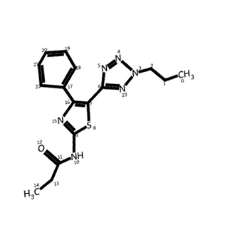 CCCn1nnc(-c2sc(NC(=O)CC)nc2-c2ccccc2)n1